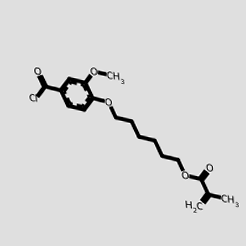 C=C(C)C(=O)OCCCCCCOc1ccc(C(=O)Cl)cc1OC